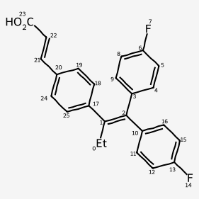 CCC(=C(c1ccc(F)cc1)c1ccc(F)cc1)c1ccc(C=CC(=O)O)cc1